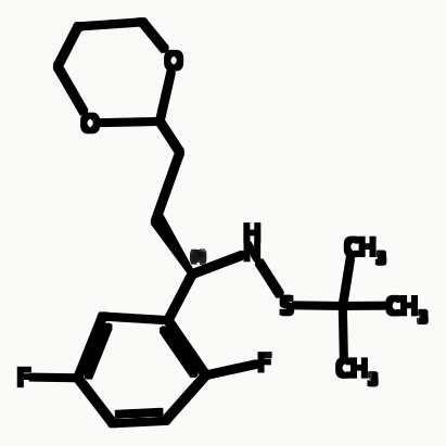 CC(C)(C)SN[C@H](CCC1OCCCO1)c1cc(F)ccc1F